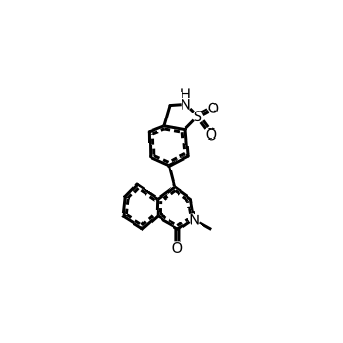 Cn1cc(-c2ccc3c(c2)S(=O)(=O)NC3)c2ccccc2c1=O